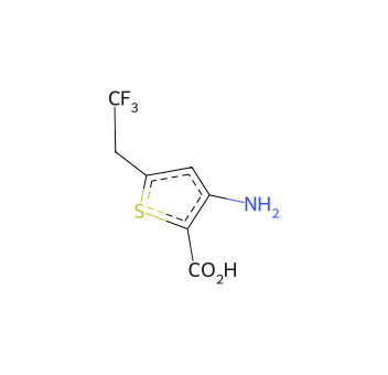 Nc1cc(CC(F)(F)F)sc1C(=O)O